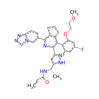 C=CC(=O)N[C@@H](C)c1cc(-c2nc(-c3ccc4nncn4c3)c3ccsc3c2-c2c(F)cc(F)cc2OCCOC)n[nH]1